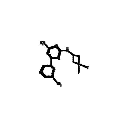 Nc1nc(NC2CC(F)(F)C2)nc(-c2cncc(C(F)(F)F)n2)n1